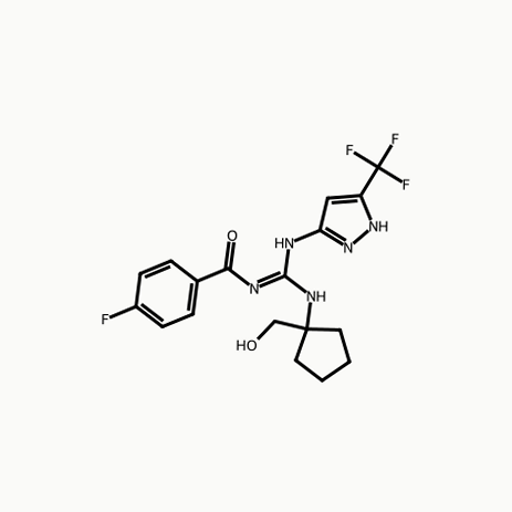 O=C(/N=C(\Nc1cc(C(F)(F)F)[nH]n1)NC1(CO)CCCC1)c1ccc(F)cc1